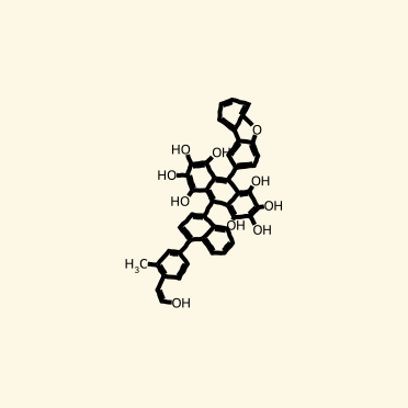 Cc1cc(-c2ccc(-c3c4c(O)c(O)c(O)c(O)c4c(-c4ccc5oc6ccccc6c5c4)c4c(O)c(O)c(O)c(O)c34)c3ccccc23)ccc1/C=C\O